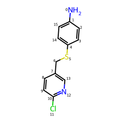 Nc1ccc(SCc2ccc(Cl)nc2)cc1